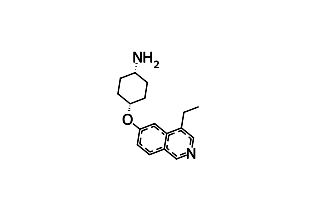 CCc1cncc2ccc(O[C@H]3CC[C@@H](N)CC3)cc12